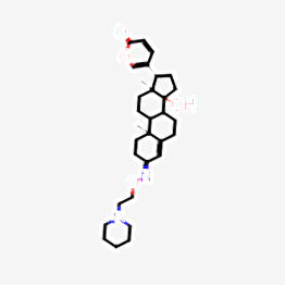 C[C@]12CCC(=NOCCN3CCCCC3)C=C1CCC1C2CC[C@]2(C)[C@@H](c3ccc(=O)oc3)CC[C@]12O